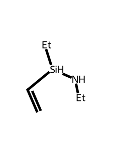 C=C[SiH](CC)NCC